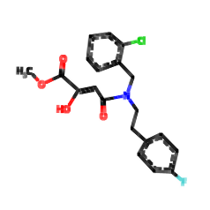 COC(=O)C(O)=CC(=O)N(CCc1ccc(F)cc1)Cc1ccccc1Cl